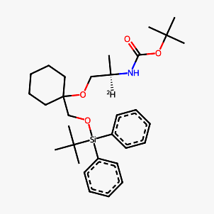 [2H][C@@](C)(COC1(CO[Si](c2ccccc2)(c2ccccc2)C(C)(C)C)CCCCC1)NC(=O)OC(C)(C)C